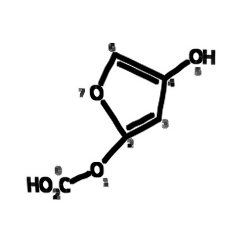 O=C(O)Oc1cc(O)co1